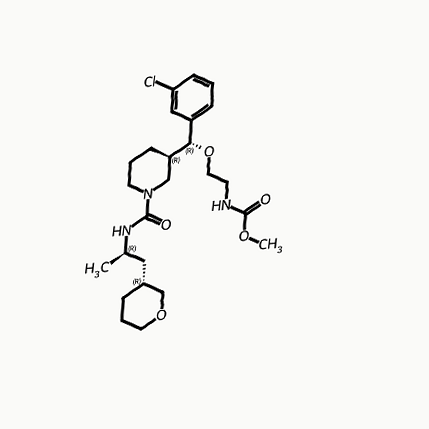 COC(=O)NCCO[C@@H](c1cccc(Cl)c1)[C@@H]1CCCN(C(=O)N[C@H](C)C[C@H]2CCCOC2)C1